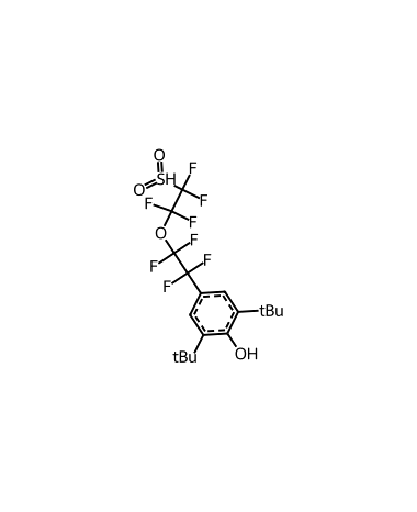 CC(C)(C)c1cc(C(F)(F)C(F)(F)OC(F)(F)C(F)(F)[SH](=O)=O)cc(C(C)(C)C)c1O